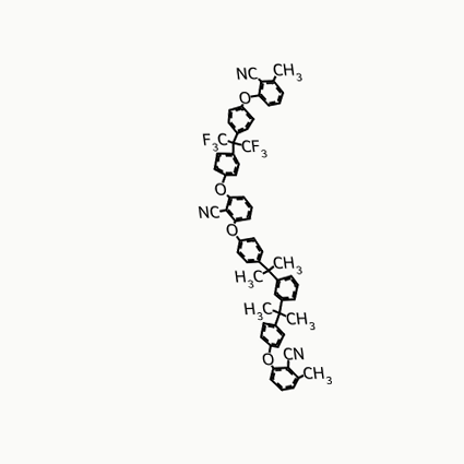 Cc1cccc(Oc2ccc(C(C)(C)c3cccc(C(C)(C)c4ccc(Oc5cccc(Oc6ccc(C(c7ccc(Oc8cccc(C)c8C#N)cc7)(C(F)(F)F)C(F)(F)F)cc6)c5C#N)cc4)c3)cc2)c1C#N